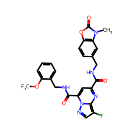 Cn1c(=O)oc2ccc(CNC(=O)c3cc(C(=O)NCc4ccccc4OC(F)(F)F)n4ncc(F)c4n3)cc21